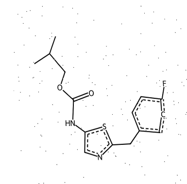 CC(C)COC(=O)Nc1cnc(Cc2ccc(F)cc2)s1